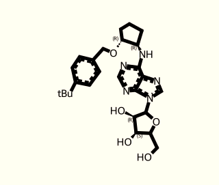 CC(C)(C)c1ccc(CO[C@@H]2CCC[C@H]2Nc2ncnc3c2ncn3C2OC(CO)[C@@H](O)[C@H]2O)cc1